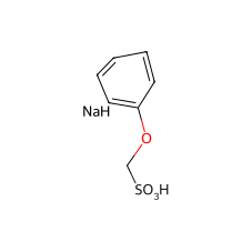 O=S(=O)(O)COc1ccccc1.[NaH]